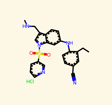 CCc1cc(C#N)ccc1Nc1ccc2c(CNC)cn(S(=O)(=O)c3cccnc3)c2c1.Cl